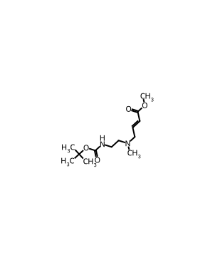 COC(=O)/C=C/CN(C)CCNC(=O)OC(C)(C)C